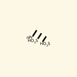 CCCC.CS(=O)(=O)O.CS(=O)(=O)O